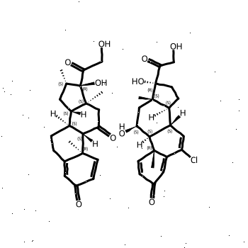 C[C@H]1C[C@H]2[C@@H]3CCC4=CC(=O)C=C[C@]4(C)[C@H]3C(=O)C[C@]2(C)[C@@]1(O)C(=O)CO.C[C@]12C=CC(=O)C=C1C(Cl)=C[C@@H]1[C@@H]2[C@@H](O)C[C@@]2(C)[C@H]1CC[C@]2(O)C(=O)CO